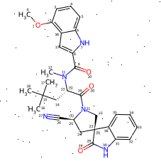 COc1cccc2[nH]c(C(=O)N(C)[C@@H](CC(C)(C)C)C(=O)N3C[C@]4(C[C@H]3C#N)C(=O)Nc3ccccc34)cc12